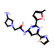 Cc1ccc(-c2nc(NC(=O)CN3CCC(N)C3)cc(-c3nccs3)n2)o1